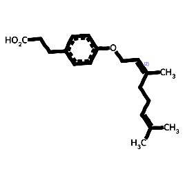 CC(C)=CCC/C(C)=C\COc1ccc(CCC(=O)O)cc1